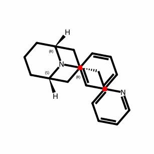 c1ccc(N2[C@@H]3CCC[C@H]2C[C@@H](Cc2ccccn2)C3)cc1